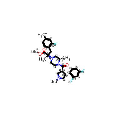 Cc1ccc(CC(C)(C(=O)OC(C)(C)C)N2CCN(C(=O)[C@@H]3CN(C(C)(C)C)C[C@H]3c3ccc(F)cc3F)[C@@H](C)C2)c(F)c1